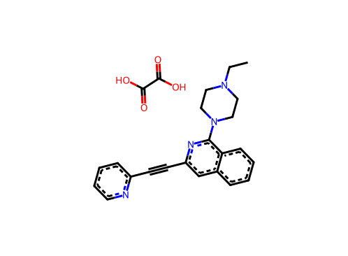 CCN1CCN(c2nc(C#Cc3ccccn3)cc3ccccc23)CC1.O=C(O)C(=O)O